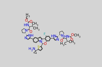 COC(=O)N[C@H](C(=O)N1CCC[C@H]1c1ncc(-c2cc(F)c3c(c2)OC(c2ccc(C4(N)CC4)s2)n2c-3cc3cc(-c4cnc([C@@H]5CCCN5C(=O)[C@@H](NC(=O)OC)C(C)C)[nH]4)ccc32)[nH]1)C(C)C